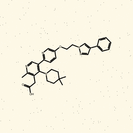 Cc1ncc(-c2ccc(OCCn3cc(-c4ccccc4)cn3)cn2)c(N2CCC(C)(C)CC2)c1CC(=O)O